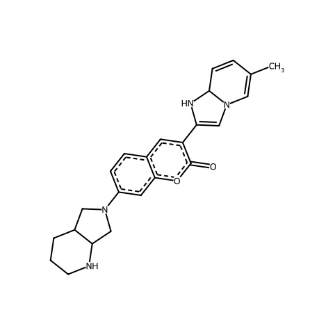 CC1=CN2C=C(c3cc4ccc(N5CC6CCCNC6C5)cc4oc3=O)NC2C=C1